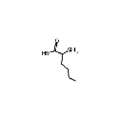 CCCCC([SiH3])C(=O)S